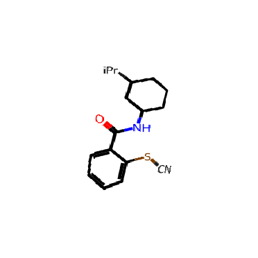 CC(C)C1CCCC(NC(=O)c2ccccc2SC#N)C1